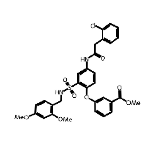 COC(=O)c1cccc(Oc2ccc(NC(=O)Cc3ccccc3Cl)cc2S(=O)(=O)NCc2ccc(OC)cc2OC)c1